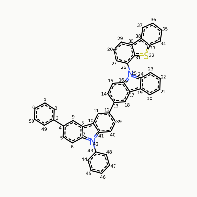 c1ccc(-c2ccc3c(c2)c2cc(-c4ccc5c(c4)c4ccccc4n5-c4cccc5c4sc4ccccc45)ccc2n3-c2ccccc2)cc1